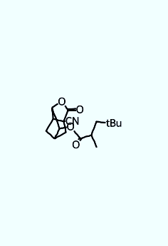 CC(CC(C)(C)C)C(=O)OC1C2CC3C1OC(=O)C3(C#N)C2